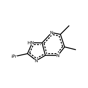 Cc1nc2nc(C(C)C)[nH]c2nc1C